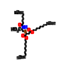 CCCCCCCCCCCCCCCCCCOC(=O)CC(SCC(NC(=O)CCCCCCCCCCCCCCC)C(=O)O)C(=O)OCCCCCCCCCCCCCCCCCC